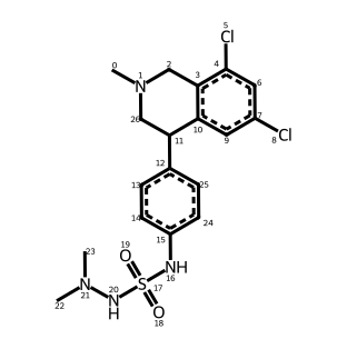 CN1Cc2c(Cl)cc(Cl)cc2C(c2ccc(NS(=O)(=O)NN(C)C)cc2)C1